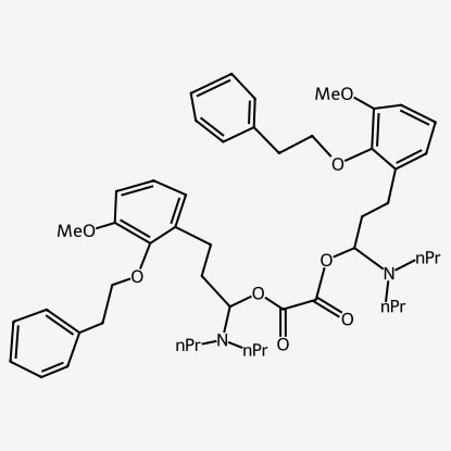 CCCN(CCC)C(CCc1cccc(OC)c1OCCc1ccccc1)OC(=O)C(=O)OC(CCc1cccc(OC)c1OCCc1ccccc1)N(CCC)CCC